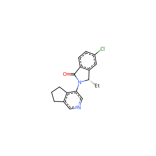 CC[C@H]1c2cc(Cl)ccc2C(=O)N1c1cncc2c1CCC2